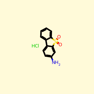 Cl.Nc1ccc2c(c1)S(=O)(=O)c1ccccc1-2